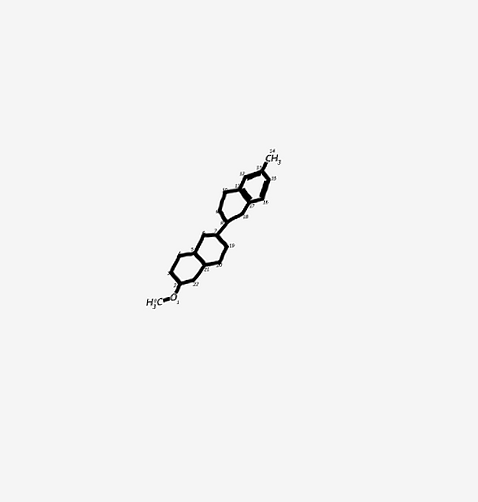 COC1CCC2CC(C3CCc4cc(C)ccc4C3)CCC2C1